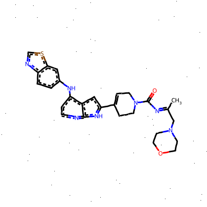 C/C(CN1CCOCC1)=N\C(=O)N1CC=C(c2cc3c(Nc4ccc5ncsc5c4)ccnc3[nH]2)CC1